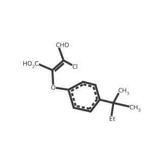 CCC(C)(C)c1ccc(OC(C(=O)O)=C(Cl)C=O)cc1